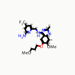 COCCCOc1cc2c(NCc3cc(C(F)(F)F)cc(N)n3)nc(C)nc2cc1OC